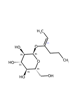 C/C=C(/CCC)O[C@H]1O[C@H](CO)[C@@H](O)[C@H](O)[C@H]1O